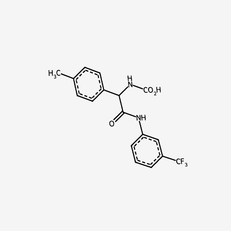 Cc1ccc(C(NC(=O)O)C(=O)Nc2cccc(C(F)(F)F)c2)cc1